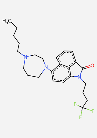 CCCCCN1CCCN(c2ccc3c4c(cccc24)C(=O)N3CCCC(F)(F)F)CC1